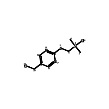 C[Si](C)(Cl)CSc1ncc(CCl)cn1